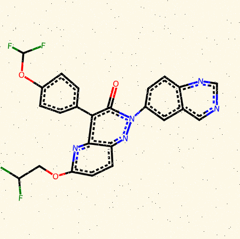 O=c1c(-c2ccc(OC(F)F)cc2)c2nc(OCC(F)F)ccc2nn1-c1ccc2ncncc2c1